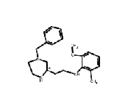 COc1cccc(C)c1NCC[C@@H]1CN(Cc2ccccc2)CCN1